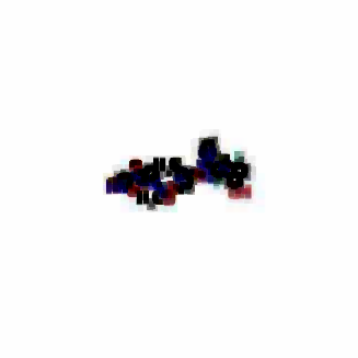 C#Cc1c(F)ccc2cc(O)cc(-c3ncc4c(N5CC6CCC(C5)N6)nc(OC[C@@]56CC[C@@H](COC(=O)N(C)CNc7cccc8c7C(=O)N(C7CCC(=O)NC7=O)C8=O)N5CC(C)C6)nc4c3F)c12